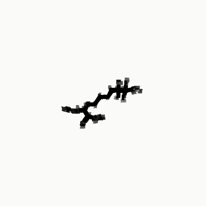 CCCCCC(SCCCCC(F)(F)C(F)(F)C(F)(F)F)C(=O)OCC(C)C